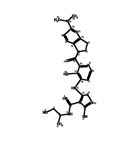 CC(CO)NC(=N)c1c(O)nsc1Nc1ccnc(C(=O)N2CCc3nc(N(C)C)ccc32)c1O